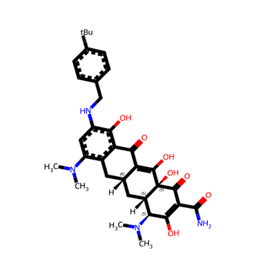 CN(C)c1cc(NCc2ccc(C(C)(C)C)cc2)c(O)c2c1C[C@H]1C[C@H]3[C@H](N(C)C)C(O)=C(C(N)=O)C(=O)[C@@]3(O)C(O)=C1C2=O